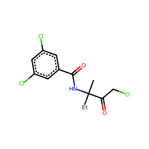 CCC(C)(NC(=O)c1cc(Cl)cc(Cl)c1)C(=O)CCl